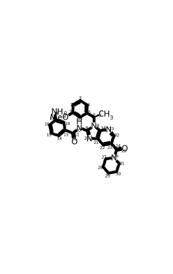 COc1cccc([C@@H](C)n2c(NC(=O)c3cccc(N)c3)nc3cc(C(=O)N4CCCCC4)cnc32)c1